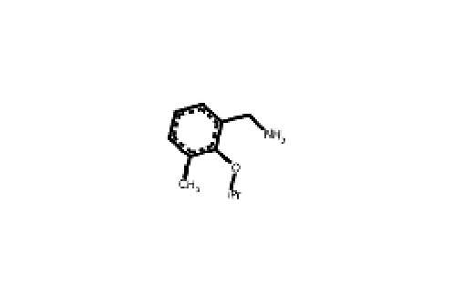 Cc1cccc(CN)c1OC(C)C